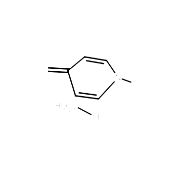 CC(=O)O.O=c1ccn(Cl)cc1